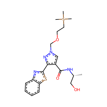 C[C@H](CO)NC(=O)c1cn(COCCS(C)(C)C)nc1-c1nc2ccccc2s1